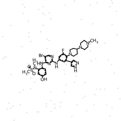 CN1CCN(C2CCN(c3c(F)cc(Nc4ncc(Br)c(Nc5ccc(O)cc5N(C)S(C)(=O)=O)n4)cc3-c3cn[nH]c3)CC2)CC1